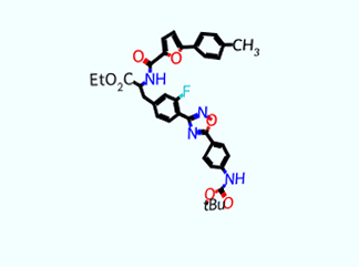 CCOC(=O)C(Cc1ccc(-c2noc(-c3ccc(NC(=O)OC(C)(C)C)cc3)n2)c(F)c1)NC(=O)c1ccc(-c2ccc(C)cc2)o1